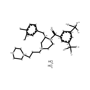 Cc1ccc(C[C@@H]2CN(CCCN3CCOCC3)CCN2C(=O)c2cc(C(F)(F)F)cc(C(F)(F)F)c2)cc1C.Cl.Cl